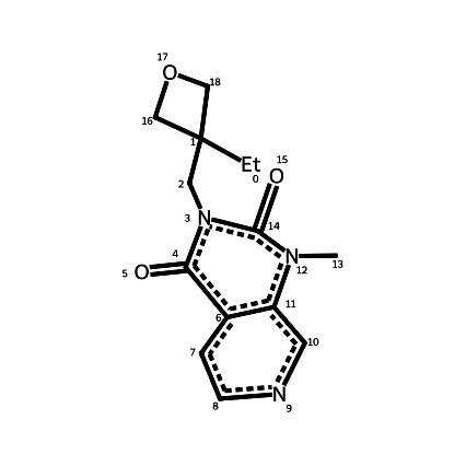 CCC1(Cn2c(=O)c3ccncc3n(C)c2=O)COC1